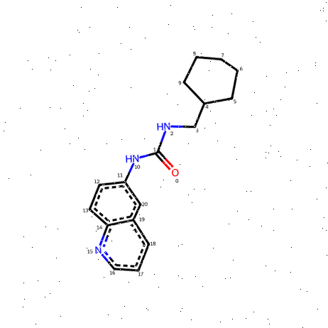 O=C(NCC1CCCCC1)Nc1ccc2ncccc2c1